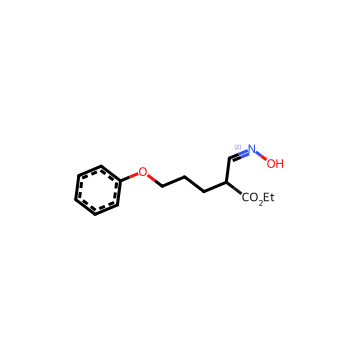 CCOC(=O)C(/C=N\O)CCCOc1ccccc1